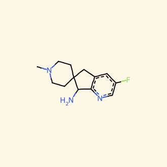 CN1CCC2(CC1)Cc1cc(F)cnc1C2N